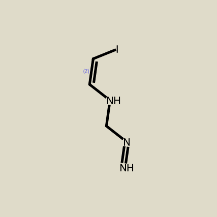 N=NCN/C=C\I